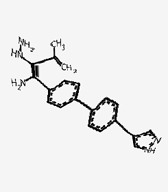 C=C(C)/C(NN)=C(/N)c1ccc(-c2ccc(-c3cn[nH]c3)cc2)cc1